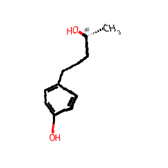 C[C@@H](O)CCc1ccc(O)cc1